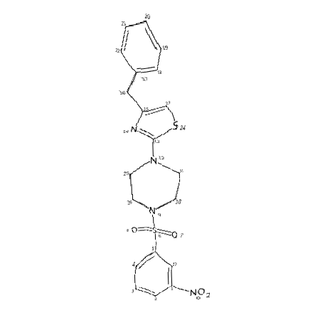 O=[N+]([O-])c1cccc(S(=O)(=O)N2CCN(c3nc(Cc4ccccc4)cs3)CC2)c1